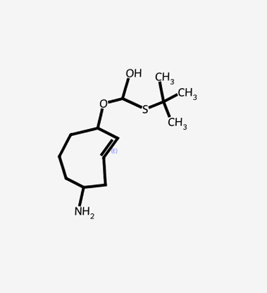 CC(C)(C)SC(O)OC1/C=C/CC(N)CCC1